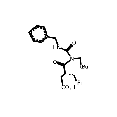 CC(C)C[C@H](CC(=O)O)C(=O)N(CC(C)(C)C)C(=O)NCc1ccccc1